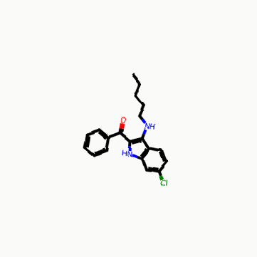 CCCCCNc1c(C(=O)c2ccccc2)[nH]c2cc(Cl)ccc12